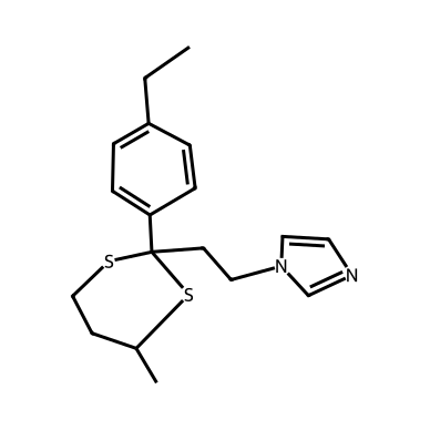 CCc1ccc(C2(CCn3ccnc3)SCCC(C)S2)cc1